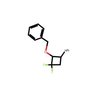 CCCC1CC(F)(F)C1OCc1ccccc1